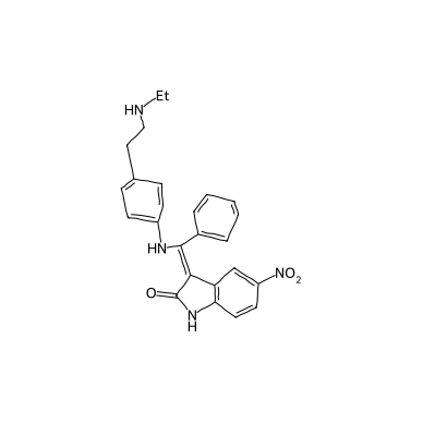 CCNCCc1ccc(N/C(=C2\C(=O)Nc3ccc([N+](=O)[O-])cc32)c2ccccc2)cc1